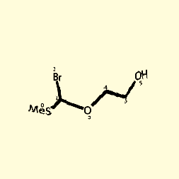 CSC(Br)OCCO